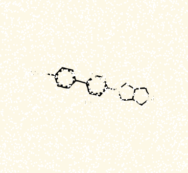 COc1ccc(-c2ccc(N3CC4CNCC4C3)nn2)cc1.Cl